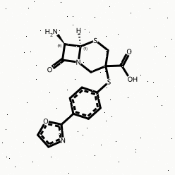 N[C@@H]1C(=O)N2CC(Sc3ccc(-c4ncco4)cc3)(C(=O)O)CS[C@H]12